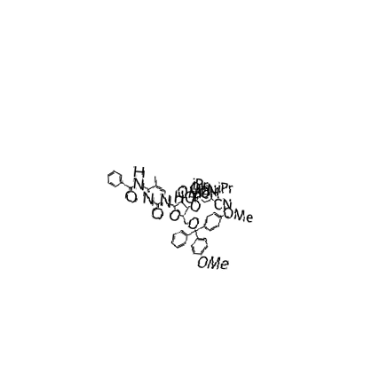 COc1ccc(C(OC[C@H]2O[C@@H](n3cc(C)c(NC(=O)c4ccccc4)nc3=O)C(OC)C2OP(O)(O)(O)CC(C#N)N(C(C)C)C(C)C)(c2ccccc2)c2ccc(OC)cc2)cc1